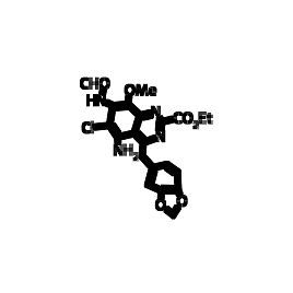 CCOC(=O)c1nc(Cc2ccc3c(c2)OCO3)c2c(N)c(Cl)c(NC=O)c(OC)c2n1